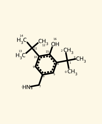 CC(C)(C)c1cc(C[NH])cc(C(C)(C)C)c1O